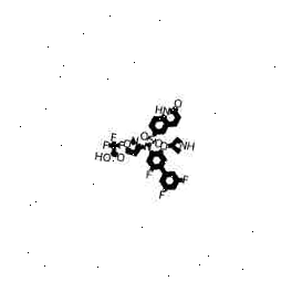 O=C(O)C(F)(F)F.O=c1ccc2cc(S(=O)(=O)N(c3ccon3)c3cc(F)c(-c4cc(F)cc(F)c4)cc3OC3CNC3)ccc2[nH]1